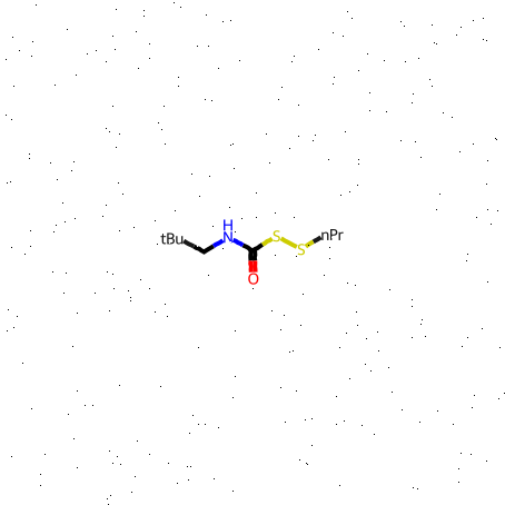 CCCSSC(=O)NCC(C)(C)C